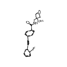 O=C(NCC1(O)COC1)c1ccc(C#Cc2ccccc2F)cc1